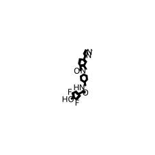 Cn1ccc(-c2ccc3c(c2)CN(C2CCC(CNC(=O)c4cc(F)c(O)c(F)c4)CC2)C3=O)n1